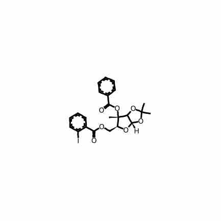 CC1(C)OC2[C@@H](O[C@@H](COC(=O)c3ccccc3I)[C@]2(C)OC(=O)c2ccccc2)O1